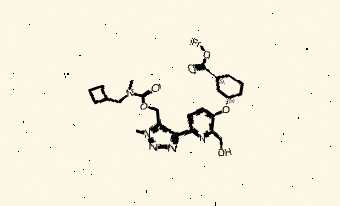 CC(C)OC(=O)[C@H]1CCC[C@H](Oc2ccc(-c3nnn(C)c3COC(=O)N(C)CC3CCC3)nc2CO)C1